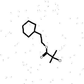 CC(C)(Cl)C(=O)OCCC1CCCCC1